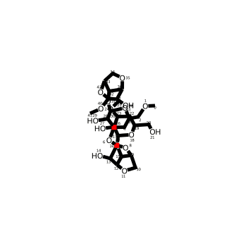 COCC1CC(OC2OC3COC(C2O)C3OC2OC(CO)CC(OC)C2O)C(O)C(OC2C3COC2C(O)C(OC)O3)O1